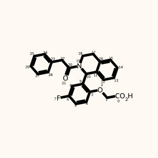 O=C(O)COc1ccc(F)cc1C1c2ccccc2CCN1C(=O)Cc1ccccc1